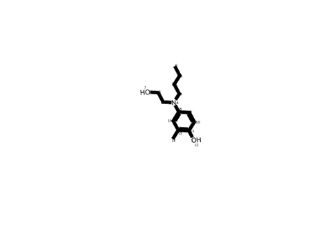 CCCCN(CCO)c1ccc(O)c(C)c1